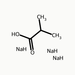 CC(C)C(=O)O.[NaH].[NaH].[NaH]